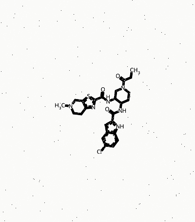 CCC(=O)N1CCC(NC(=O)c2cc3cc(Cl)ccc3[nH]2)C(NC(=O)c2nc3c(s2)CN(C)CC3)C1